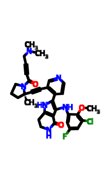 COc1c(Cl)cc(F)cc1Nc1c(-c2ccncc2C#C[C@@]2(C)CCCN2C(=O)C#CCN(C)C)[nH]c2c1C(=O)NCC2